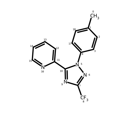 Cc1ccc(-n2nc(C(F)(F)F)nc2-c2ccccn2)cc1